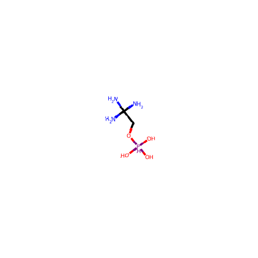 NC(N)(N)CO[PH](O)(O)O